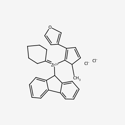 CC1C=CC(c2ccoc2)=[C]1[Zr+2](=[C]1CCCCC1)[CH]1c2ccccc2-c2ccccc21.[Cl-].[Cl-]